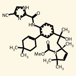 COC(=O)N1C(C)(C)C=C[C@@]1(C)CC(C)(O)c1ccc(NC(=O)c2nc(C#N)c[nH]2)c(C2=CCC(C)(C)CC2)c1